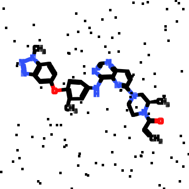 C=CC(=O)N1CCN(c2ccc3ncnc(Nc4ccc(Oc5ccc6c(c5)nnn6C)c(C)c4)c3n2)C[C@H]1C